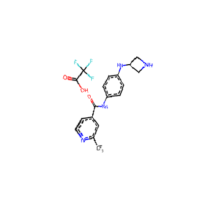 O=C(Nc1ccc(NC2CNC2)cc1)c1ccnc(C(F)(F)F)c1.O=C(O)C(F)(F)F